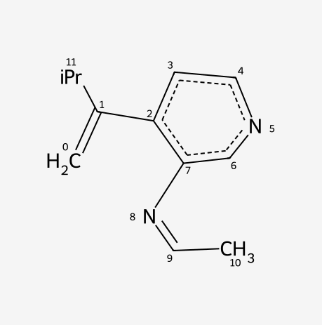 C=C(c1ccncc1/N=C\C)C(C)C